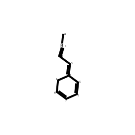 C/B=C\C=C1\C=CC=CC1